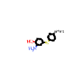 CCCCCCc1ccc(Sc2ccc(O)c(N)c2)cc1